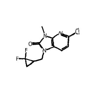 Cn1c(=O)n(CC2CC2(F)F)c2ccc(Cl)nc21